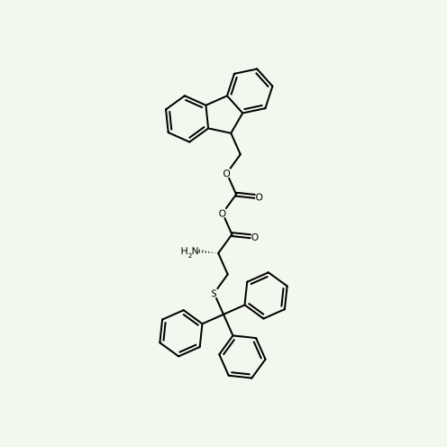 N[C@@H](CSC(c1ccccc1)(c1ccccc1)c1ccccc1)C(=O)OC(=O)OCC1c2ccccc2-c2ccccc21